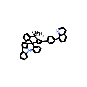 CC1(C)c2ccccc2C2(c3ccccc3-n3c4ccccc4c4cccc2c43)c2ccc(-c3ccc(-c4cccc5cccnc45)cc3)cc21